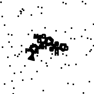 COc1ccc(S(=O)(=O)NC2CCOC2)cc1C(=O)Nc1ccc(F)c(C2CC2)n1